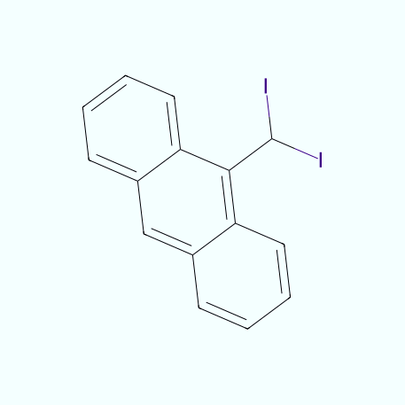 IC(I)c1c2ccccc2cc2ccccc12